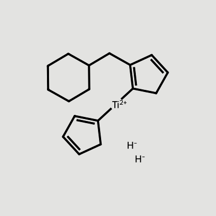 C1=CC[C]([Ti+2][C]2=C(CC3CCCCC3)C=CC2)=C1.[H-].[H-]